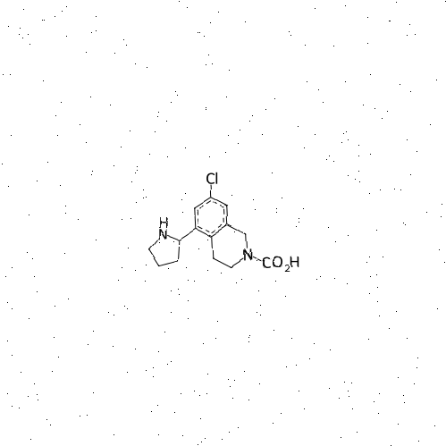 O=C(O)N1CCc2c(cc(Cl)cc2C2CCCN2)C1